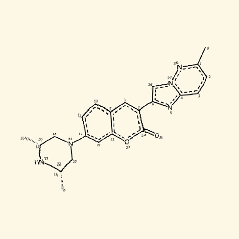 Cc1ccc2nc(-c3cc4ccc(N5C[C@@H](C)N[C@@H](C)C5)cc4oc3=O)cn2n1